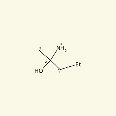 CC[CH]C(C)(N)O